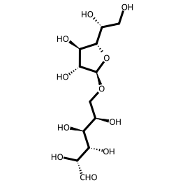 O=C[C@H](O)[C@@H](O)[C@@H](O)[C@H](O)CO[C@@H]1O[C@@H]([C@H](O)CO)[C@H](O)[C@H]1O